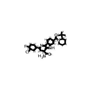 CC(C)(C)C1C[CH]CCN1C(=O)c1ccc2c(c1)[nH]c1c(C(N)=O)cc(-c3ccc(F)c(Cl)c3)nc12